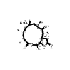 CC[C@H]1OC(=O)[C@H](C)C[C@H](C)C[C@](C)(OC)C[C@@H](C)C(=O)[C@H](C)[C@H]2CC(=O)O[C@@]21C